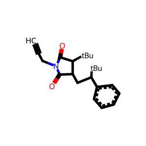 C#CCN1C(=O)C(CC(c2ccccc2)C(C)(C)C)C(C(C)(C)C)C1=O